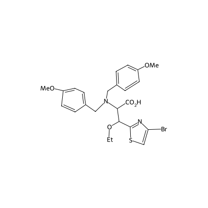 CCOC(c1nc(Br)cs1)C(C(=O)O)N(Cc1ccc(OC)cc1)Cc1ccc(OC)cc1